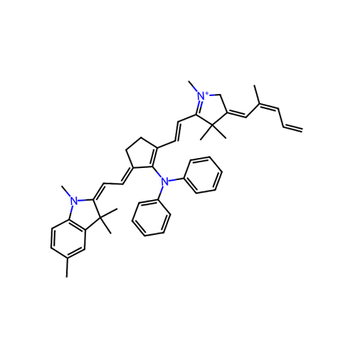 C=C/C=C(C)\C=C1/C[N+](C)=C(/C=C/C2=C(N(c3ccccc3)c3ccccc3)C(=C/C=C3/N(C)c4ccc(C)cc4C3(C)C)/CC2)C1(C)C